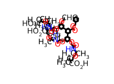 CC(C)(CNC(=O)COc1cc(OCC(=O)NCC(C)(C)OCCC(C)(C)C(=O)O)cc(-c2cc(C(=O)OCc3ccccc3)cc(-c3cc(OCC=O)cc(OCC(=O)NCC(C)(C)OCC(C)(C)C(=O)O)c3)c2)c1)OCCC(C)(C)C(=O)O